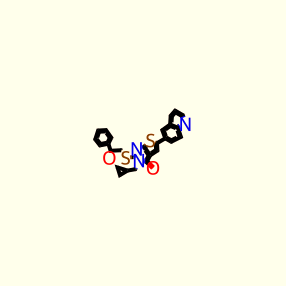 O=C(CSc1nc2sc(-c3ccc4ncccc4c3)cc2c(=O)n1CC1CC1)c1ccccc1